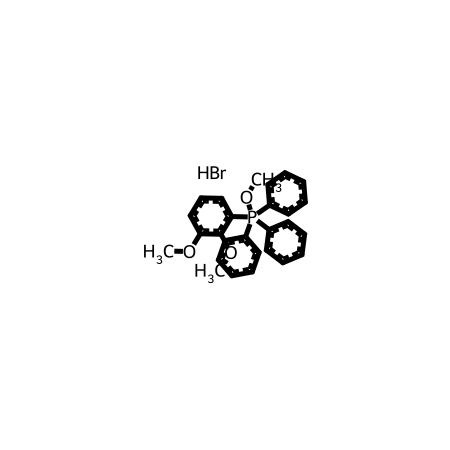 Br.COc1cccc(P(OC)(c2ccccc2)(c2ccccc2)c2ccccc2)c1OC